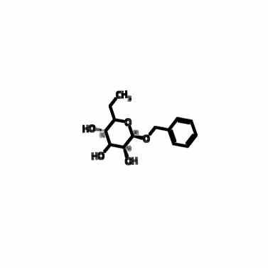 CCC1O[C@@H](OCc2ccccc2)[C@@H](O)C(O)[C@@H]1O